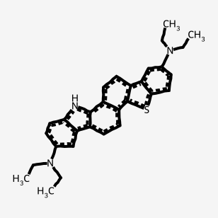 CCN(CC)c1ccc2[nH]c3c(ccc4c3ccc3c5cc(N(CC)CC)ccc5sc34)c2c1